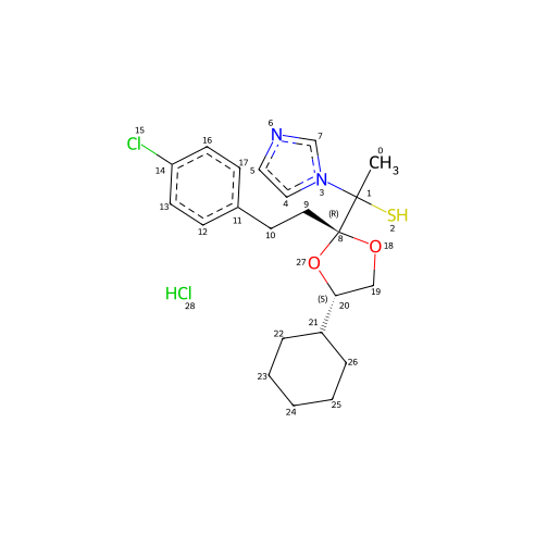 CC(S)(n1ccnc1)[C@]1(CCc2ccc(Cl)cc2)OC[C@H](C2CCCCC2)O1.Cl